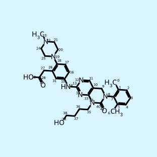 Cc1cccc(C)c1N1Cc2cnc(Nc3ccc(N4CCN(C)CC4)c(CC(=O)O)c3)nc2N(CCCCO)C1=O